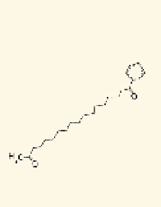 CC(=O)CCCCCCCCCCCCCCCC(=O)c1ccccc1